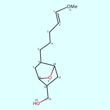 COC=CCCCC1CC2OC1CC2CO